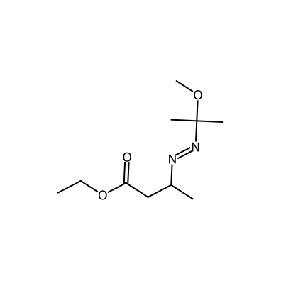 CCOC(=O)CC(C)N=NC(C)(C)OC